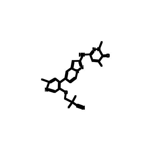 Cc1cc(-c2ccn3nc(Nc4cc(C)c(=O)n(C)n4)cc3c2)c(OCC(C)(C)C#N)cn1